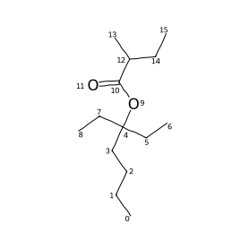 CCCCC(CC)(CC)OC(=O)C(C)CC